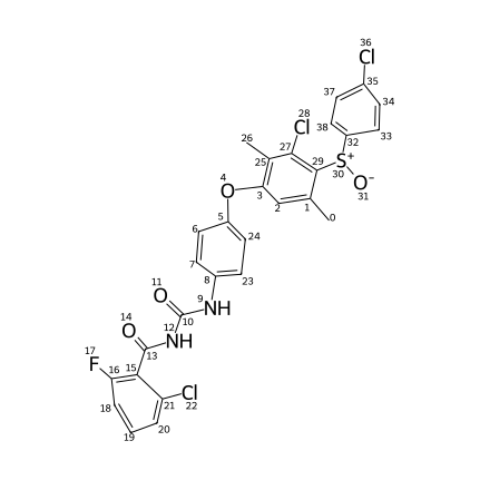 Cc1cc(Oc2ccc(NC(=O)NC(=O)c3c(F)cccc3Cl)cc2)c(C)c(Cl)c1[S+]([O-])c1ccc(Cl)cc1